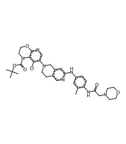 Cc1cc(Nc2cc3c(cn2)CCN(c2cnc4c(c2Cl)N(C(=O)OC(C)(C)C)CCO4)C3)ccc1NC(=O)CN1CCOCC1